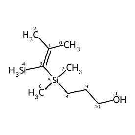 CC(C)=C([SiH3])[Si](C)(C)CCCO